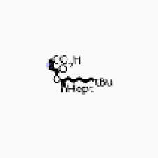 CCCCCCCC(CCCCCC(C)(C)C)OC(=O)/C=C\C(=O)O